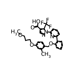 COCCCOc1ccc(COc2ccccc2-c2cccc(-n3ncc(C(=O)O)c3C(F)(F)F)n2)c(C)c1